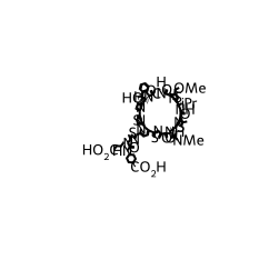 CNC(=O)C[C@@H]1NC(=O)c2csc(n2)-c2ccc(-c3nc(N(CCCC(=O)O)C(=O)N[C@H]4CC[C@H](C(=O)O)CC4)cs3)nc2-c2csc(n2)C2=CCC(=N2)[C@H]([C@@H](O)c2ccccc2)NC(=O)CNC(=O)c2nc(sc2COC)C(C(C)C)NC(=O)c2nc1sc2C